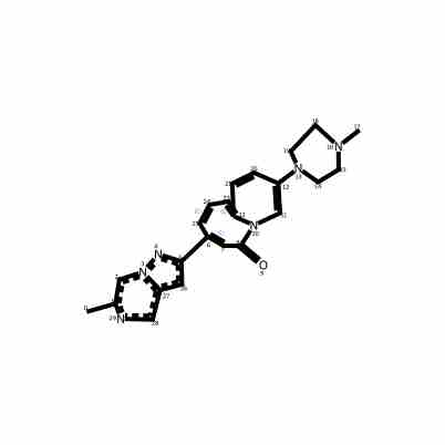 Cc1cn2nc(C3=C\C(=O)N4C=C(N5CCN(C)CC5)C=C\C4=C/C=C/3)cc2cn1